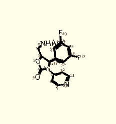 CC(=O)NCC1OC(=O)N(c2ccncc2)C1c1cc(F)cc(F)c1